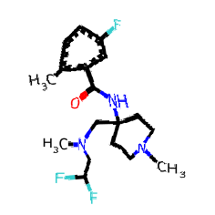 Cc1ccc(F)cc1C(=O)NC1(CN(C)CC(F)F)CCN(C)CC1